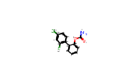 NC(=O)Oc1ccccc1-c1ccc(Cl)cc1Cl